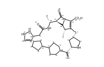 C[C@H]1C(S[C@@H]2CN[C@H](C(=O)N3CCC(N4CCCC4)CC3)C2)=C(C(=O)O)N2C(=O)[C@H]([C@@H](C)NC(=O)CN3C=NNN3)C12